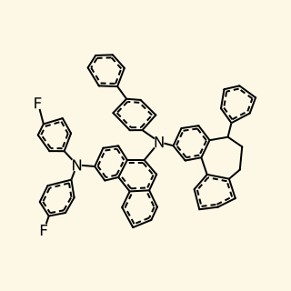 Fc1ccc(N(c2ccc(F)cc2)c2ccc3c(N(c4ccc(-c5ccccc5)cc4)c4ccc5c(c4)-c4ccccc4CCC5c4ccccc4)cc4ccccc4c3c2)cc1